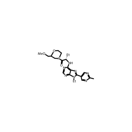 CC[C@H](Nc1ncnc2c1nc(-c1cnc(C)nc1)n2CC)C(=O)N1CCOC(COC)C1